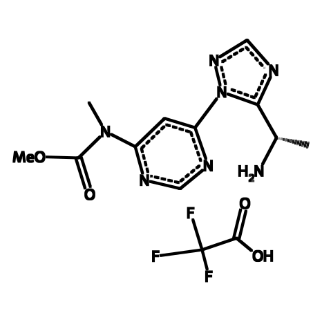 COC(=O)N(C)c1cc(-n2ncnc2[C@H](C)N)ncn1.O=C(O)C(F)(F)F